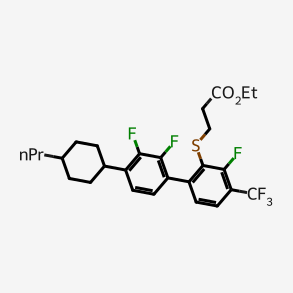 CCCC1CCC(c2ccc(-c3ccc(C(F)(F)F)c(F)c3SCCC(=O)OCC)c(F)c2F)CC1